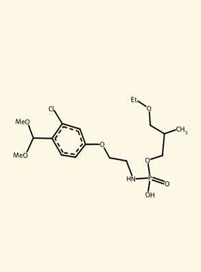 CCOCC(C)COP(=O)(O)NCCOc1ccc(C(OC)OC)c(Cl)c1